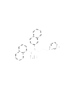 NC(c1cccc2ccccc12)C(CCCn1ccnc1)c1ccc2ccccc2c1